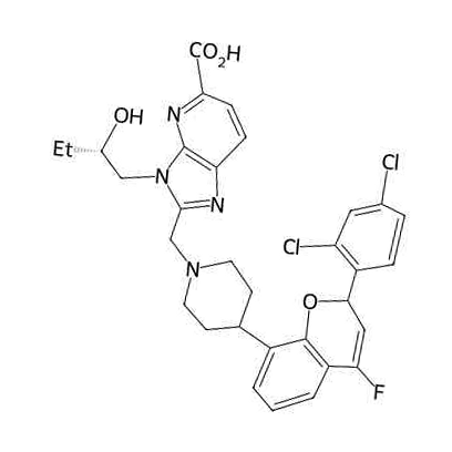 CC[C@H](O)Cn1c(CN2CCC(c3cccc4c3OC(c3ccc(Cl)cc3Cl)C=C4F)CC2)nc2ccc(C(=O)O)nc21